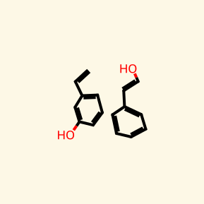 C=Cc1cccc(O)c1.OC=Cc1ccccc1